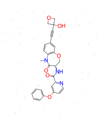 CN1C(=O)[C@H](NC(=O)c2cc(Oc3ccccc3)ccn2)COc2cc(C#CC3(O)COC3)ccc21